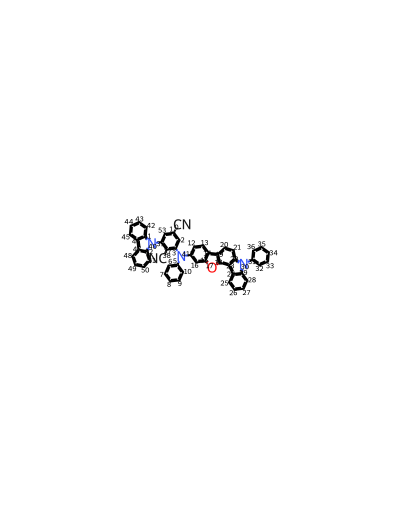 N#Cc1cc(N(c2ccccc2)c2ccc3c(c2)oc2c3ccc3c2c2ccccc2n3-c2ccccc2)c(C#N)c(-n2c3ccccc3c3ccccc32)c1